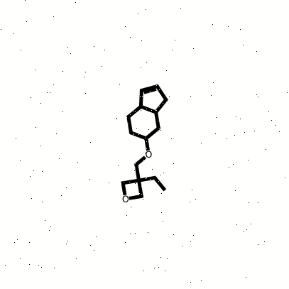 CCC1(COC2CCC3C=CCC3C2)COC1